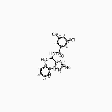 CC(NC(=O)c1cc(Cl)cc(Cl)c1)c1nc(Br)nn1-c1ncccn1